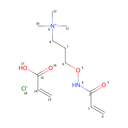 C=CC(=O)NOCCC[N+](C)(C)C.C=CC(=O)O.[Cl-]